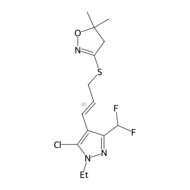 CCn1nc(C(F)F)c(/C=C/CSC2=NOC(C)(C)C2)c1Cl